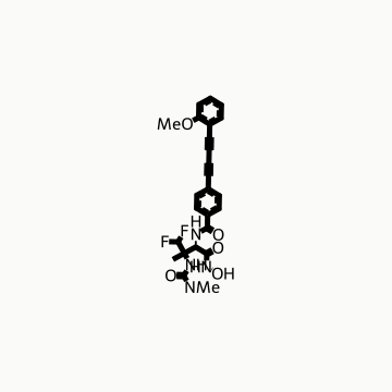 CNC(=O)NC(C)(C(F)F)[C@H](NC(=O)c1ccc(C#CC#Cc2ccccc2OC)cc1)C(=O)NO